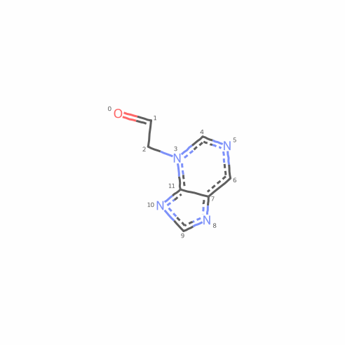 O=CCn1cncc2ncnc1-2